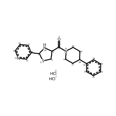 Cl.Cl.O=C(C1CSC(c2cccnc2)N1)N1CCC(c2ccccc2)CC1